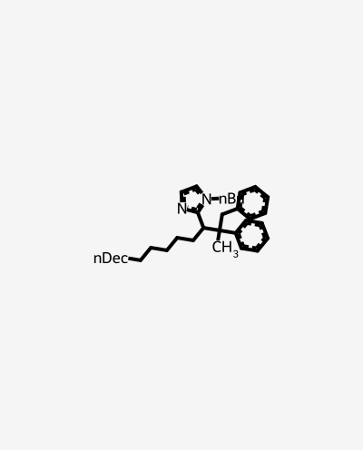 CCCCCCCCCCCCCCCC(c1nccn1CCCC)C(C)(Cc1ccccc1)c1ccccc1